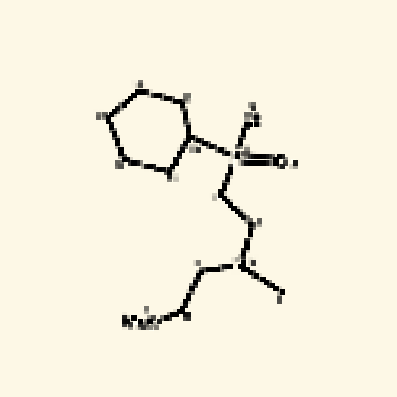 CCP(=O)(CCN(C)CCSC)C1CCCCC1